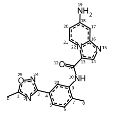 Cc1nc(-c2ccc(C)c(NC(=O)c3cnc4cc(N)ccn34)c2)no1